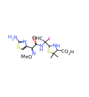 CON=C(C(=O)NC(I)(C=O)C1NC(C(=O)O)C(C)(C)S1)c1csc(N)n1